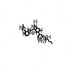 CCCCC(O)Nc1cncc(-c2cc3c(-c4nc5c(-n6cnc(C)c6)nccc5[nH]4)n[nH]c3cc2F)c1